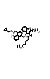 CCCCc1nc2c(N)nc3ccccc3c2n1Cc1ccc(CNCCC2CC2)c2ccccc12